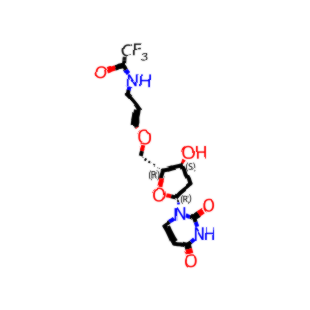 O=C(NCC=COC[C@H]1O[C@@H](n2ccc(=O)[nH]c2=O)C[C@@H]1O)C(F)(F)F